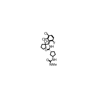 CNC(=O)N[C@@H]1CC[C@@H](C(=O)N[C@@H](c2c(F)ccc(Cl)c2Cl)C2(C)CCCC2)C1